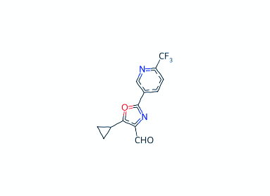 O=Cc1nc(-c2ccc(C(F)(F)F)nc2)oc1C1CC1